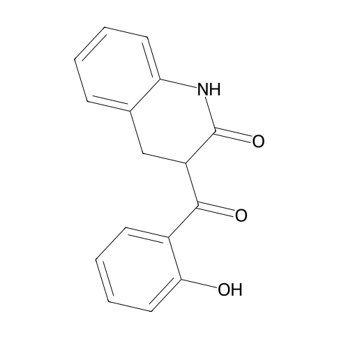 O=C1Nc2ccccc2CC1C(=O)c1ccccc1O